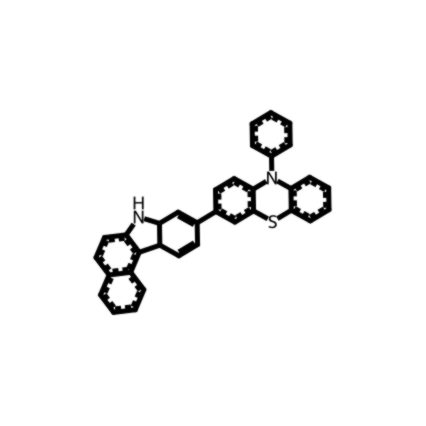 C1=CC2c3c(ccc4ccccc34)NC2C=C1c1ccc2c(c1)Sc1ccccc1N2c1ccccc1